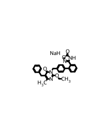 CCOc1nc(C)c(Cc2ccccc2)c(=O)n1Cc1ccc(-c2ccccc2-c2noc(=O)[nH]2)cc1.[NaH]